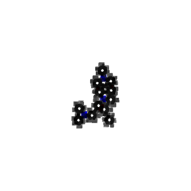 c1ccc(-c2cccc(-c3ccccc3N(c3ccc(-c4cccc(-n5c6ccccc6c6ccccc65)c4)cc3)c3cccc4c3-c3ccccc3C43c4ccccc4N(c4ccccc4)c4ccccc43)c2)cc1